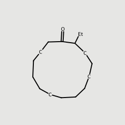 CCC1CCCCCCCCCCCCC1=O